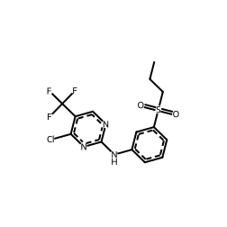 CCCS(=O)(=O)c1cccc(Nc2ncc(C(F)(F)F)c(Cl)n2)c1